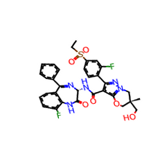 CCS(=O)(=O)c1ccc(-c2nn3c(c2C(=O)N[C@H]2N=C(c4ccccc4)c4cccc(F)c4NC2=O)OC[C@@](C)(CO)C3)c(F)c1